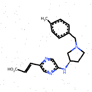 Cc1ccc(CN2CC[C@@H](Nc3cnc(/C=C/C(=O)O)cn3)C2)cc1